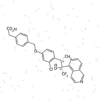 C[C@@H](c1ccc(OCc2ccc(CC(=O)O)cc2)cc1Cl)[C@](O)(c1cccc2cnccc12)C(F)(F)F